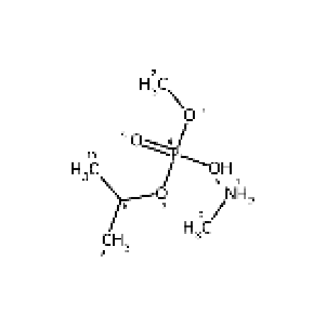 CN.COP(=O)(O)OC(C)C